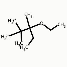 CCOC(C)(CC)C(C)(C)C